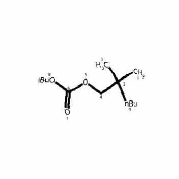 CCCCC(C)(C)COC(=O)OCC(C)C